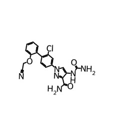 N#CCOc1ccccc1-c1ccc(-n2cc(NC(N)=O)c(C(N)=O)n2)cc1Cl